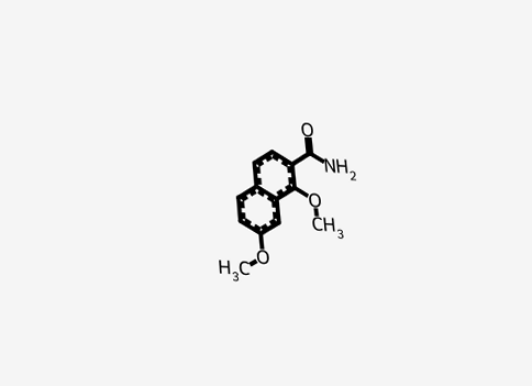 COc1ccc2ccc(C(N)=O)c(OC)c2c1